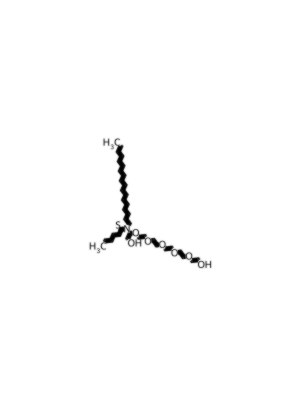 CCCCCCCCCCCCCCCCCCN(C(=S)CCCCC)C(CO)OCCOCCOCCOCCOCCO